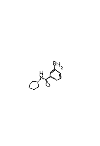 Bc1cccc(C(=O)NC2CCCCC2)c1